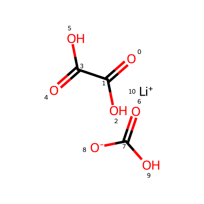 O=C(O)C(=O)O.O=C([O-])O.[Li+]